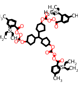 C=C[SiH](C=C)c1cc(C)ccc1C(=O)OOC(=O)OC1CCC(C(C2CCC(OC(=O)OOC(=O)c3ccc(C)cc3[SiH](C=C)C=C)CC2)C2CCC(OC(=O)OOC(=O)c3ccc(C)cc3[SiH](C=C)C=C)CC2)CC1